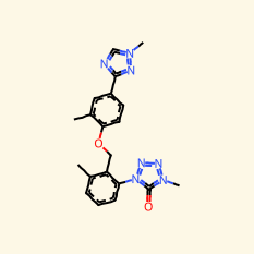 Cc1cc(-c2ncn(C)n2)ccc1OCc1c(C)cccc1-n1nnn(C)c1=O